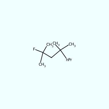 CCCC(C)(C)CC(C)(C)F